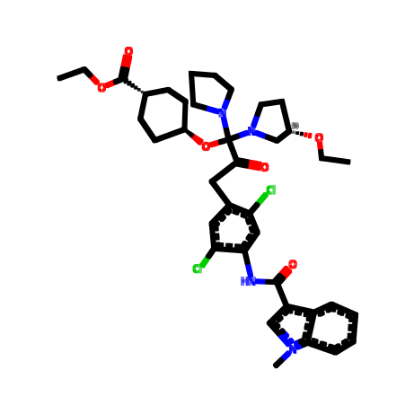 CCOC(=O)[C@H]1CC[C@H](OC(C(=O)Cc2cc(Cl)c(NC(=O)c3cn(C)c4ccccc34)cc2Cl)(N2CCCC2)N2CC[C@H](OCC)C2)CC1